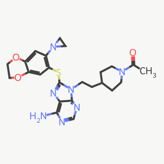 CC(=O)N1CCC(CCn2c(Sc3cc4c(cc3N3CC3)OCCO4)nc3c(N)ncnc32)CC1